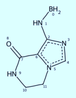 BNc1ncn2c1C(=O)NCC2